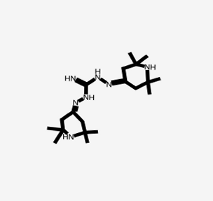 CC1(C)CC(=NNC(=N)NN=C2CC(C)(C)NC(C)(C)C2)CC(C)(C)N1